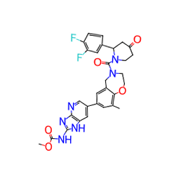 COC(=O)Nc1nc2ncc(-c3cc(C)c4c(c3)CN(C(=O)N3CCC(=O)CC3c3ccc(F)c(F)c3)CCO4)cc2[nH]1